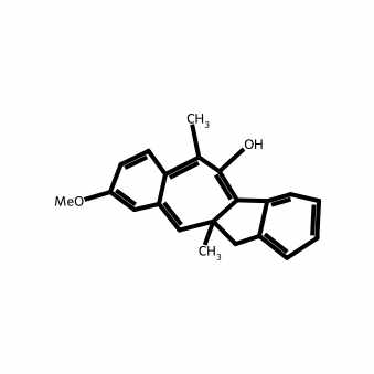 COc1ccc2c(c1)=CC1(C)Cc3ccccc3C1=C(O)C=2C